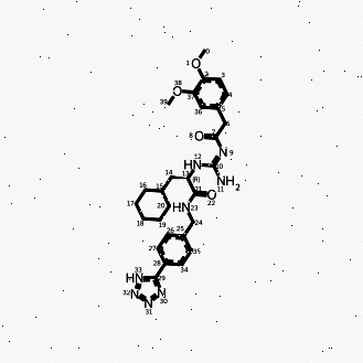 COc1ccc(CC(=O)N=C(N)N[C@H](CC2CCCCC2)C(=O)NCc2ccc(-c3nnn[nH]3)cc2)cc1OC